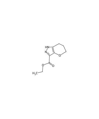 CCOC(=O)c1n[nH]c2c1OCCC2